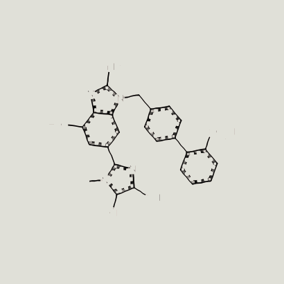 CCCc1nc2c(C)cc(-c3nc(C)c(C)n3CC)cc2n1Cc1ccc(-c2ccccc2C(=O)O)cc1